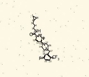 O=C(NCCCC1CC1)c1ccc(N2CCN(Cc3cc(F)ccc3C(F)(F)F)CC2)nn1